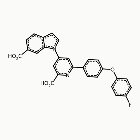 O=C(O)c1ccc2ccn(-c3cc(C(=O)O)nc(-c4ccc(Oc5ccc(F)cc5)cc4)c3)c2c1